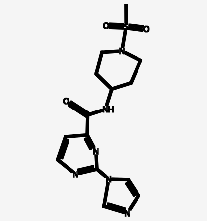 CS(=O)(=O)N1CCC(NC(=O)c2ccnc(-n3ccnc3)n2)CC1